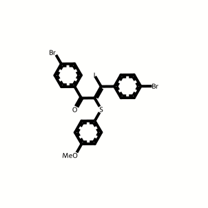 COc1ccc(SC(C(=O)c2ccc(Br)cc2)=C(I)c2ccc(Br)cc2)cc1